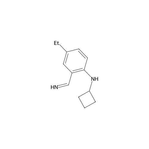 CCc1ccc(NC2CCC2)c(C=N)c1